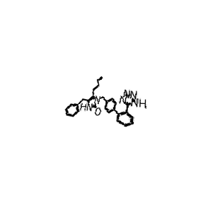 C=CCCc1c(Cc2ccccc2)[nH]c(=O)n1Cc1ccc(-c2ccccc2-c2nnn[nH]2)cc1